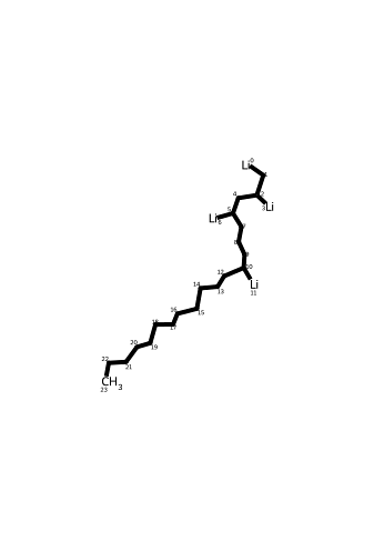 [Li][CH2][CH]([Li])C[CH]([Li])CCC[CH]([Li])CCCCCCCCCCCC